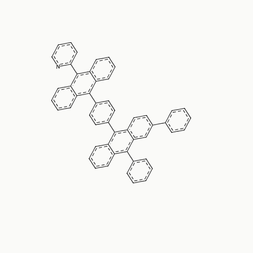 c1ccc(-c2ccc3c(-c4ccc(-c5c6ccccc6c(-c6ccccn6)c6ccccc56)cc4)c4ccccc4c(-c4ccccc4)c3c2)cc1